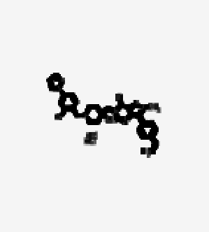 Cl.Cl.Cn1nc2c(=O)n(CC3(O)CCN(Cc4ccc(-n5cccn5)cc4Cl)CC3)cnc2c1-c1ccc(CN)cc1